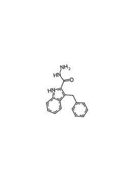 NNC(=O)c1[nH]c2ccccc2c1Cc1ccccc1